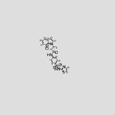 CC(CC(=O)Nc1ccc(S(=O)(=O)Nc2nccs2)cc1)n1ccc2cccc(Cl)c21